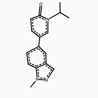 CC(C)n1cc(-c2ccc3c(cnn3C)c2)ccc1=O